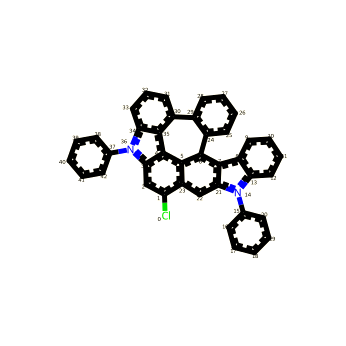 Clc1cc2c3c4c(c5c6ccccc6n(-c6ccccc6)c5cc14)-c1ccccc1-c1cccc(c13)n2-c1ccccc1